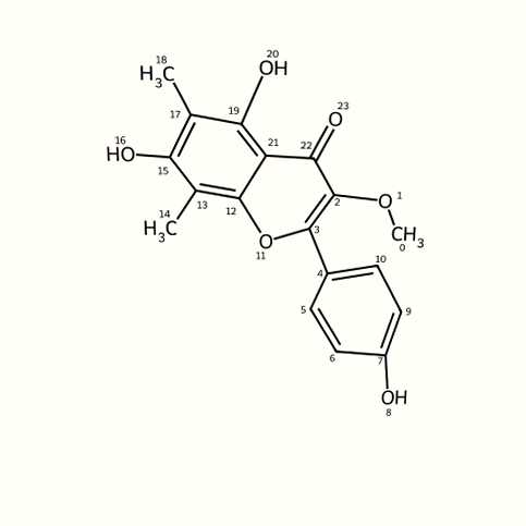 COc1c(-c2ccc(O)cc2)oc2c(C)c(O)c(C)c(O)c2c1=O